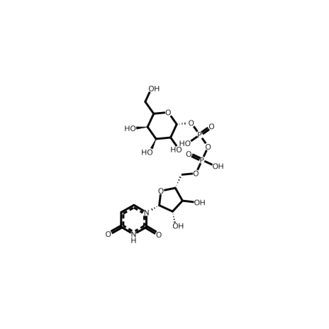 O=c1ccn([C@@H]2O[C@H](COP(=O)(O)OP(=O)(O)O[C@H]3OC(CO)[C@H](O)[C@H](O)C3O)C(O)[C@@H]2O)c(=O)[nH]1